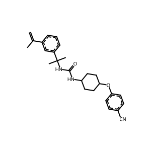 C=C(C)c1cccc(C(C)(C)NC(=O)NC2CCC(Oc3ccc(C#N)cc3)CC2)c1